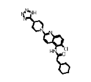 O=C(CC1CCCCC1)Nc1c(Cl)ccc2nc(N3CCC(c4nnn[nH]4)CC3)ccc12